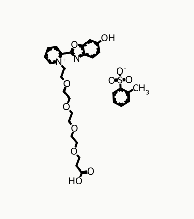 Cc1ccccc1S(=O)(=O)[O-].O=C(O)CCOCCOCCOCCOCC[n+]1ccccc1-c1nc2ccc(O)cc2o1